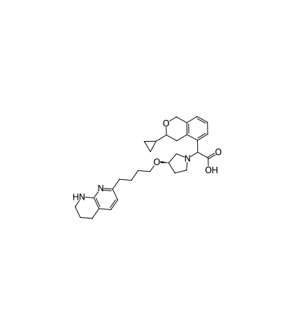 O=C(O)C(c1cccc2c1CC(C1CC1)OC2)N1CC[C@@H](OCCCCc2ccc3c(n2)NCCC3)C1